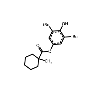 CC1(C(=O)Oc2cc(C(C)(C)C)c(O)c(C(C)(C)C)c2)CCCCC1